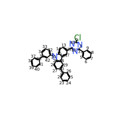 Clc1nc(-c2ccccc2)nc(-c2ccc3c(c2)c2cc(-c4ccccc4)ccc2n3-c2cccc(-c3ccccc3)c2)n1